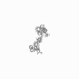 O=C(O)c1cn(CC2CC2)c2cc(N3CC4C(/C=C/c5c(-c6c(Cl)cccc6Cl)noc5C5CC5)C4C3)ccc12